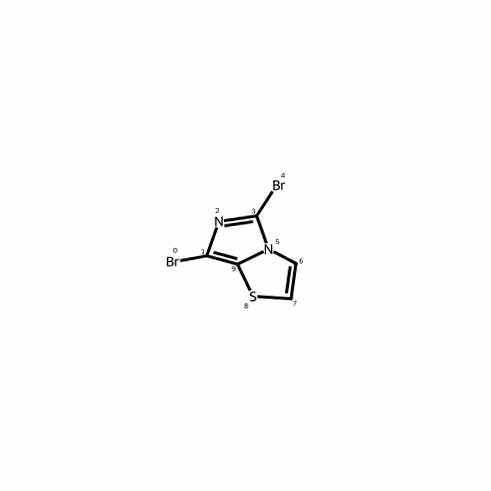 Brc1nc(Br)n2ccsc12